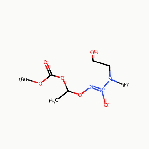 CC(ON=[N+]([O-])N(CCO)C(C)C)OC(=O)OC(C)(C)C